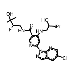 CC(C)C(O)CNc1cc(-n2ncc3cc(Cl)cnc32)ncc1C(=O)NC[C@@H](F)C(C)(C)O